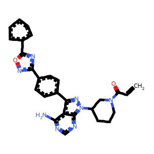 C=CC(=O)N1CCCC(n2nc(-c3ccc(-c4noc(-c5ccccc5)n4)cc3)c3c(N)ncnc32)C1